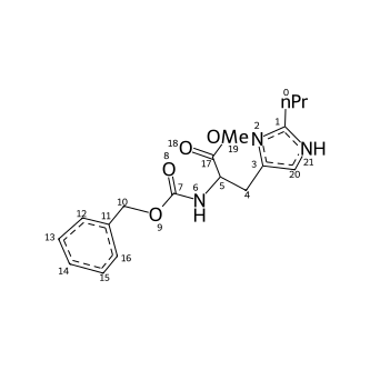 CCCc1nc(CC(NC(=O)OCc2ccccc2)C(=O)OC)c[nH]1